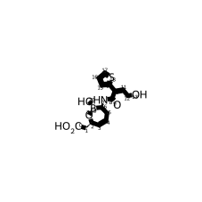 O=C(O)C[C@H]1C=CC[C@H](NC(=O)/C(=C\CO)c2cccs2)B(O)O1